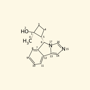 C[C@]1(O)CCC1[C@H]1c2ccccc2-c2cncn21